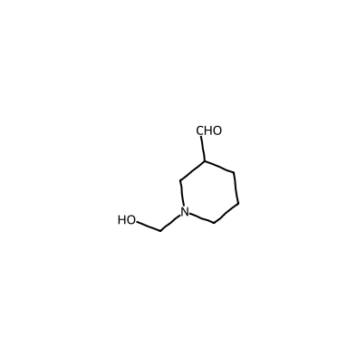 O=CC1CCCN(CO)C1